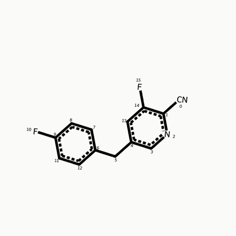 N#Cc1ncc(Cc2ccc(F)cc2)cc1F